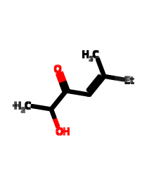 [CH2]C(O)C(=O)C=C(C)CC